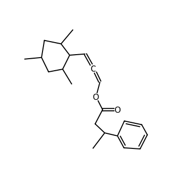 CC1CC(C)C(C=C=COC(=O)CC(C)c2ccccc2)C(C)C1